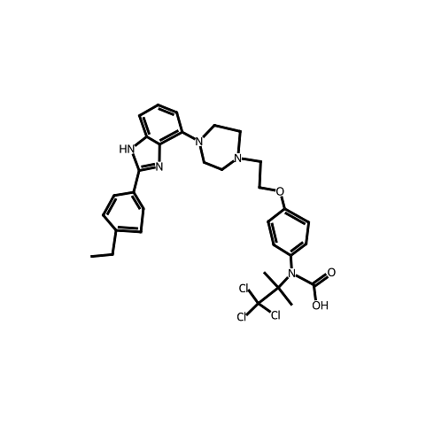 CCc1ccc(-c2nc3c(N4CCN(CCOc5ccc(N(C(=O)O)C(C)(C)C(Cl)(Cl)Cl)cc5)CC4)cccc3[nH]2)cc1